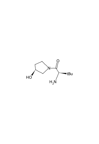 CC(C)(C)[C@@H](N)C(=O)N1CC[C@H](O)C1